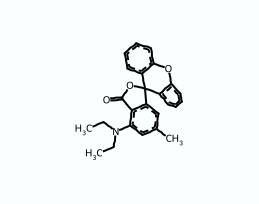 CCN(CC)c1cc(C)cc2c1C(=O)OC21c2ccccc2Oc2ccccc21